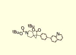 CC(C)(C)OC(=O)N1CCC2(CC1)CC2(C(=O)OC(C)(C)C)c1ccc(-c2ccc3cccnc3c2)cc1